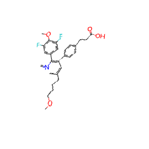 C=N/C(=C(\C=C(/C)CCCCOC)c1ccc(CCC(=O)O)cc1)c1cc(F)c(OC)c(F)c1